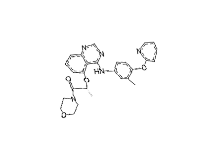 Cc1cc(Nc2ncnc3cccc(O[C@H](C)C(=O)N4CCOCC4)c23)ccc1Oc1ccccn1